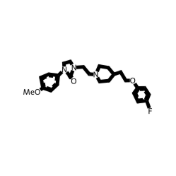 COc1ccc(N2CCN(CCN3CCC(CCOc4ccc(F)cc4)CC3)C2=O)cc1